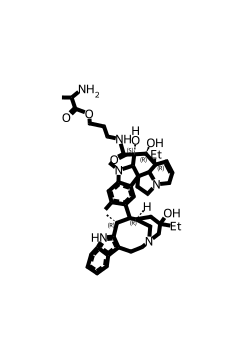 CCC1(O)C[C@H]2CN(CCc3c([nH]c4ccccc34)[C@H](C)C2c2cc3c(cc2C)N(C)C2C34CCN3CC=C[C@](CC)(C34)[C@@H](O)[C@]2(O)C(=O)NCCCOC(=O)C(C)N)C1